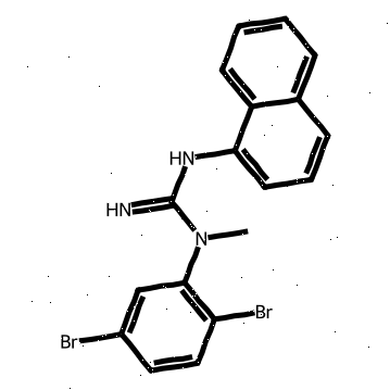 CN(C(=N)Nc1cccc2ccccc12)c1cc(Br)ccc1Br